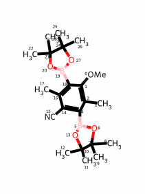 COc1c(C)c(B2OC(C)(C)C(C)(C)O2)c(C#N)c(C)c1B1OC(C)(C)C(C)(C)O1